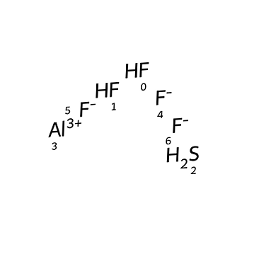 F.F.S.[Al+3].[F-].[F-].[F-]